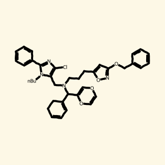 CCCCn1c(-c2ccccc2)nc(Cl)c1CN(CCCc1cc(OCc2ccccc2)no1)C(C1=CC=CCC1)C1=COC=CO1